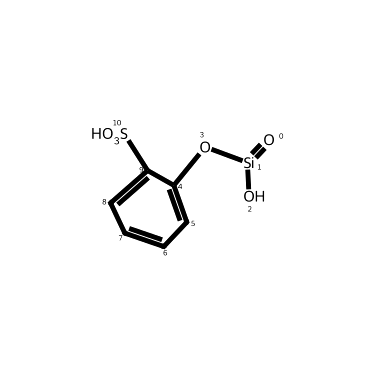 O=[Si](O)Oc1ccccc1S(=O)(=O)O